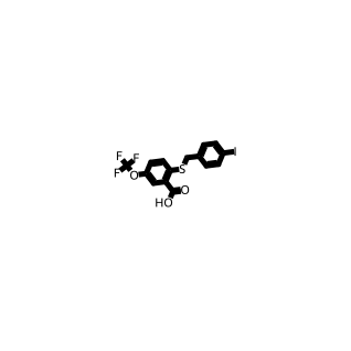 O=C(O)c1cc(OC(F)(F)F)ccc1SCc1ccc(I)cc1